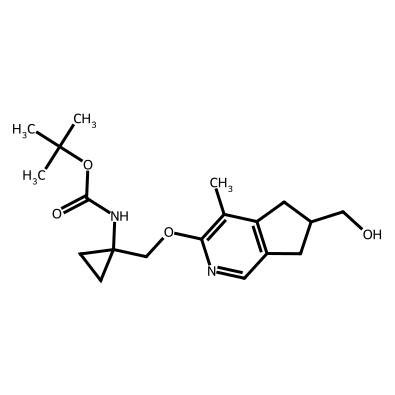 Cc1c(OCC2(NC(=O)OC(C)(C)C)CC2)ncc2c1CC(CO)C2